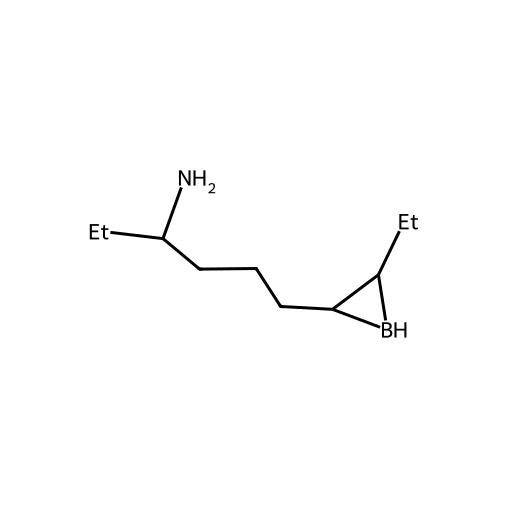 CCC(N)CCCC1BC1CC